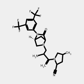 C=C(C(N)CN1C[C@@H]2CC1C(=O)N2c1cc(C(F)(F)F)cc(C(F)(F)F)c1)N1CC(C)CC1C#N